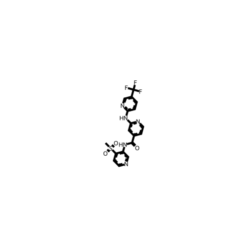 CS(=O)(=O)c1ccncc1NC(=O)c1ccnc(Nc2ccc(C(F)(F)F)cn2)c1